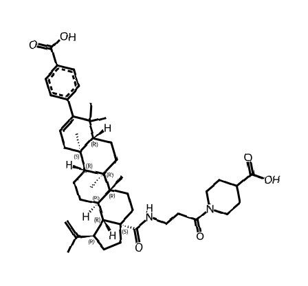 C=C(C)[C@@H]1CC[C@]2(C(=O)NCCC(=O)N3CCC(C(=O)O)CC3)CC[C@]3(C)[C@H](CC[C@@H]4[C@@]5(C)CC=C(c6ccc(C(=O)O)cc6)C(C)(C)[C@@H]5CC[C@]43C)[C@@H]12